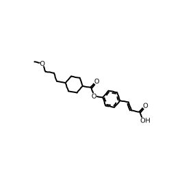 COCCCC1CCC(C(=O)Oc2ccc(/C=C/C(=O)O)cc2)CC1